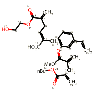 C=C(C)C(=O)OC.C=C(CC=C(C)C(=O)O)C(=O)OCCO.C=CC(=O)OCCCC.C=Cc1ccccc1